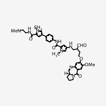 CNCCNC(=O)c1cc(-c2ccc(NC(=O)c3cc(NCC(C=O)CCOc4cc5c(cc4OC)C(=O)N4CCC[C@@H]4C=N5)cn3C)cc2)cn1C